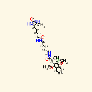 COc1c(Cl)c(/C=C(\C)C(=O)NCCCCCCNC(=O)CCCCCC2NC(=O)N[C@H]2C)c(OC)c2ccccc12